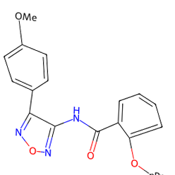 CCCOc1ccccc1C(=O)Nc1nonc1-c1ccc(OC)cc1